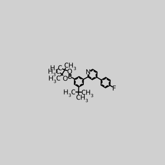 CC(C)(C)c1cc(B2OC(C)(C)C(C)(C)O2)cc(-c2cc(-c3ccc(F)cc3)ccn2)c1